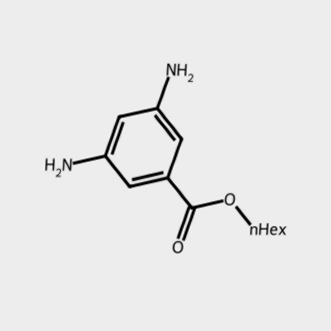 CCCCCCOC(=O)c1cc(N)cc(N)c1